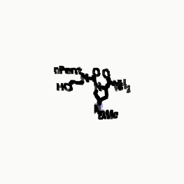 CCCCCN(CCO)C(=O)N1C/C(=N/OC)CC1C(N)=O